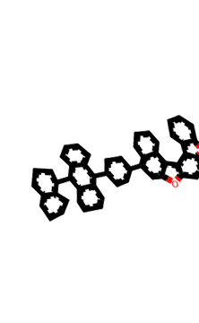 c1ccc2c(-c3c4ccccc4c(-c4ccc(-c5cc6oc7ccc8oc9ccccc9c8c7c6c6ccccc56)cc4)c4ccccc34)cccc2c1